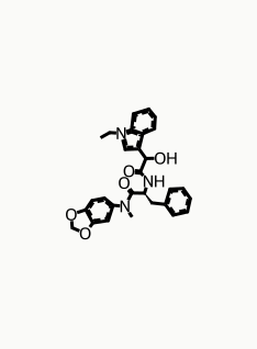 CCn1cc(C(O)C(=O)N[C@@H](Cc2ccccc2)C(=O)N(C)c2ccc3c(c2)OCO3)c2ccccc21